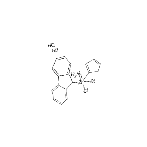 C[CH2][Zr](=[SiH2])([Cl])([C]1=CC=CC1)[CH]1c2ccccc2-c2ccccc21.Cl.Cl